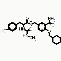 CNC(=O)NC(Cc1ccc(O)cc1)C(=O)NCc1ccc(OCC2CCCCC2)c(C(N)=O)c1